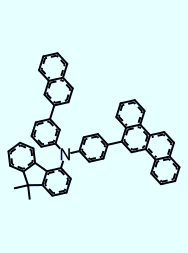 CC1(C)c2ccccc2-c2c(N(c3ccc(-c4cc5c6ccccc6ccc5c5ccccc45)cc3)c3cccc(-c4ccc5ccccc5c4)c3)cccc21